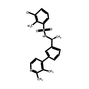 Cc1nccc(-c2cccc([C@H](C)NS(=O)(=O)c3cccc(Cl)c3C)c2)c1C